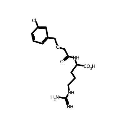 N=C(N)NCCCC(NC(=O)COCc1cccc(Cl)c1)C(=O)O